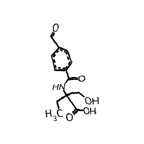 CCC(CO)(NC(=O)c1ccc(C=O)cc1)C(=O)O